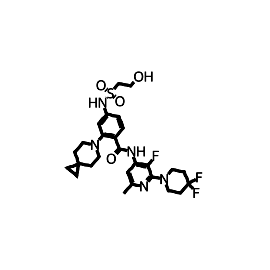 Cc1cc(NC(=O)c2ccc(NS(=O)(=O)CCO)cc2N2CCC3(CC2)CC3)c(F)c(N2CCC(F)(F)CC2)n1